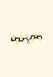 O=C(C(=S)c1cc2sc3ccsc3c2s1)c1cc2sc3ccsc3c2s1